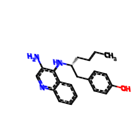 CCCC[C@H](Cc1ccc(O)cc1)Nc1c(N)cnc2ccccc12